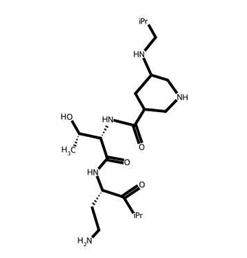 CC(C)CNC1CNCC(C(=O)N[C@H](C(=O)N[C@@H](CCN)C(=O)C(C)C)[C@H](C)O)C1